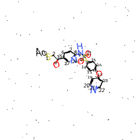 CC(=O)SCC(=O)c1ccc(NS(=O)(=O)c2ccc(Oc3ccncc3)cc2)nc1